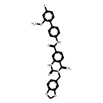 C=C1c2ccc(C(=O)Nc3ccc(-c4ccc(F)cc4OC)cc3)cc2NC(=S)N1Cc1ccc2c(c1)OCO2